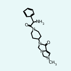 CN1C=C2C(=O)N(C3CCN(C(=O)C(N)c4ccccc4)CC3)CN2C1